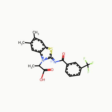 Cc1cc2s/c(=N\C(=O)c3cccc(C(F)(F)F)c3)n(C(C)C(=O)O)c2cc1C